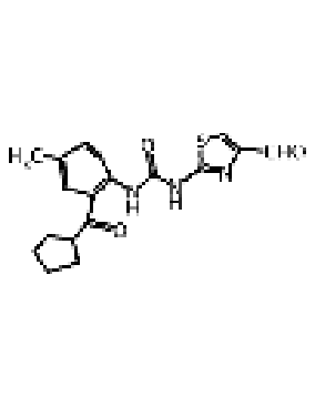 Cc1ccc(NC(=O)Nc2nc(C=O)cs2)c(C(=O)C2CCCC2)c1